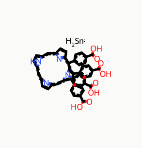 O=C(O)c1ccc(-c2c(-c3ccc(C(=O)O)cc3)c3c(-c4ccc(C(=O)O)cc4)c4nc(cc5ccc(cc6nc(cc2n3-c2ccc(C(=O)O)cc2)C=C6)[nH]5)C=C4)cc1.[SnH2]